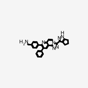 NCc1ccc(-c2nc3ccn4c(-c5n[nH]c6c5CCC6)nnc4c3cc2-c2ccccc2)cc1